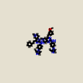 COc1cccc(Cc2nc(Nc3ccc(-n4ccnc4C)cc3)nc3c2CN(C)CC3)c1.Cc1nccn1-c1ccc(Nc2nc(CCC3CCCCC3)c3c(n2)CCN(C)C3)cc1